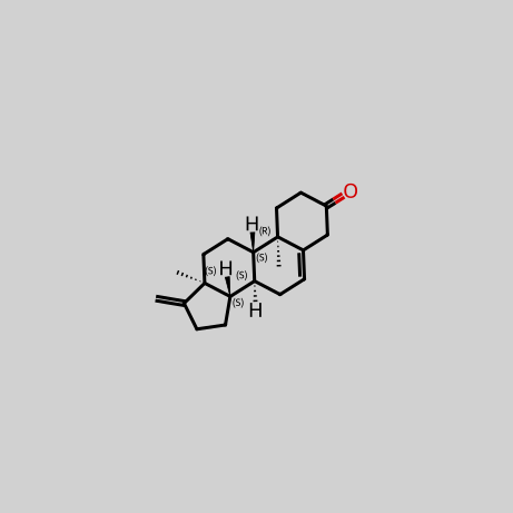 C=C1CC[C@H]2[C@@H]3CC=C4CC(=O)CC[C@]4(C)[C@H]3CC[C@]12C